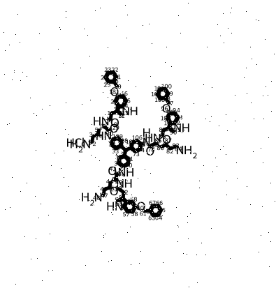 Cl.NCCCC[C@H](NC(=O)Cc1c[nH]c2ccc(OCc3ccccc3)cc12)C(=O)Nc1ccc(C(c2ccc(NC(=O)[C@H](CCCCN)NC(=O)Cc3c[nH]c4ccc(OCc5ccccc5)cc34)cc2)c2ccc(NC(=O)[C@H](CCCCN)NC(=O)Cc3c[nH]c4ccc(OCc5ccccc5)cc34)cc2)cc1